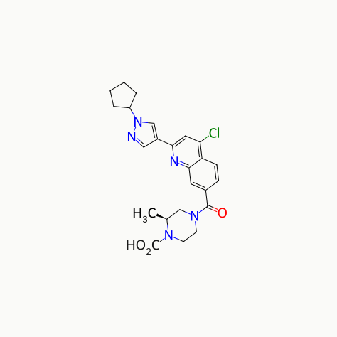 C[C@H]1CN(C(=O)c2ccc3c(Cl)cc(-c4cnn(C5CCCC5)c4)nc3c2)CCN1C(=O)O